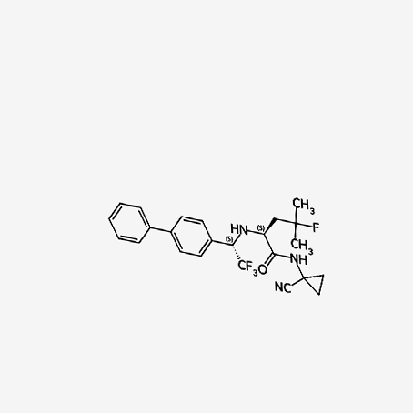 CC(C)(F)C[C@H](N[C@@H](c1ccc(-c2ccccc2)cc1)C(F)(F)F)C(=O)NC1(C#N)CC1